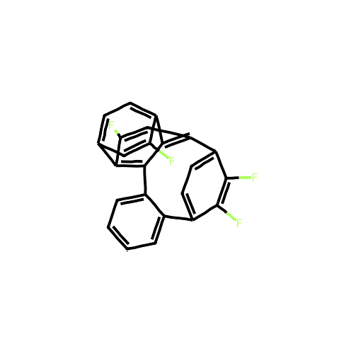 Fc1c(F)c2ccc1c1[c]c(F)c3c4ccc(c(F)c4)c1c3c1cc[c]cc21